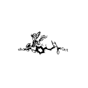 CCCCCCCCC(=O)NCCc1ccc(OP(=O)(OCCCC)OCCCC)c(OP(=O)(OCCCC)OCCCC)c1